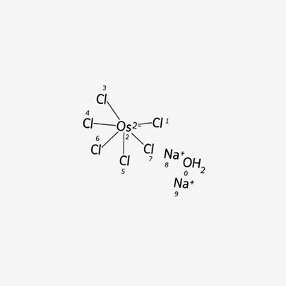 O.[Cl][Os-2]([Cl])([Cl])([Cl])([Cl])[Cl].[Na+].[Na+]